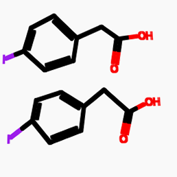 O=C(O)Cc1ccc(I)cc1.O=C(O)Cc1ccc(I)cc1